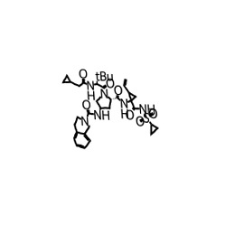 C=CC1CC1(NC(=O)[C@@H]1C[C@@H](NC(=O)N2CCc3ccccc3C2)CN1C(=O)[C@@H](NC(=O)CC1CC1)C(C)(C)C)C(=O)NS(=O)(=O)C1CC1